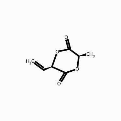 C=C[C@H]1OC(=O)[C@@H](C)OC1=O